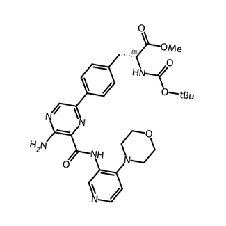 COC(=O)[C@@H](Cc1ccc(-c2cnc(N)c(C(=O)Nc3cnccc3N3CCOCC3)n2)cc1)NC(=O)OC(C)(C)C